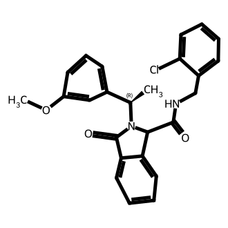 COc1cccc([C@@H](C)N2C(=O)c3ccccc3C2C(=O)NCc2ccccc2Cl)c1